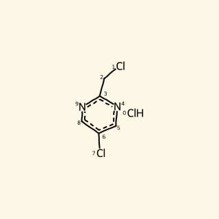 Cl.ClCc1ncc(Cl)cn1